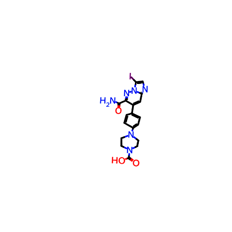 NC(=O)c1nn2c(I)cnc2cc1-c1ccc(N2CCN(C(=O)O)CC2)cc1